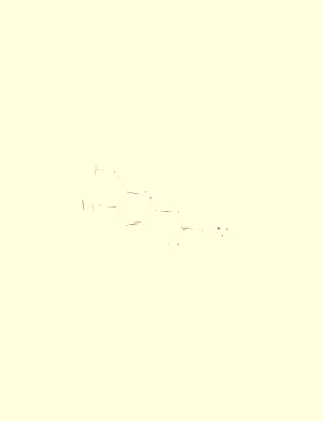 COC(=O)Oc1ccc(Br)c(C)n1